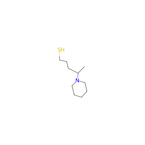 CC(CCCS)N1CCCCC1